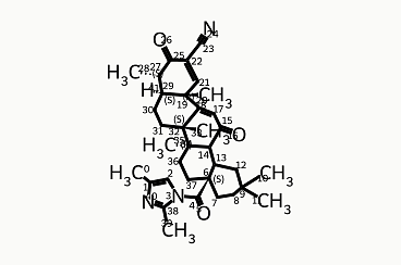 Cc1cn(C(=O)[C@]23CCC(C)(C)CC2C2C(=O)C=C4[C@@]5(C)C=C(C#N)C(=O)[C@@H](C)[C@@H]5CC[C@@]4(C)[C@]2(C)CC3)c(C)n1